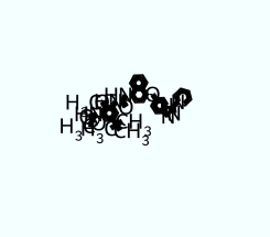 COc1c(NC(=O)N[C@H]2CC[C@@H](Oc3ccc4nnc(N5CCCCC5)n4c3)c3ccccc32)cc(C(C)(C)C)cc1NS(C)(=O)=O